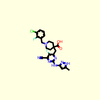 Cc1cc(Nc2nc(C#N)c(F)c(CC3(C(=O)O)CCN(Cc4cccc(Cl)c4F)CC3)n2)n[nH]1